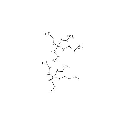 CCO[Si](CCCN)(OCC)OCC.CCO[Si](CCCN)(OCC)OCC